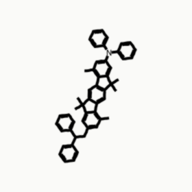 Cc1cc(CC(c2ccccc2)c2ccccc2)cc2c1-c1cc3c(cc1C2(C)C)-c1c(C)cc(N(c2ccccc2)c2ccccc2)cc1C3(C)C